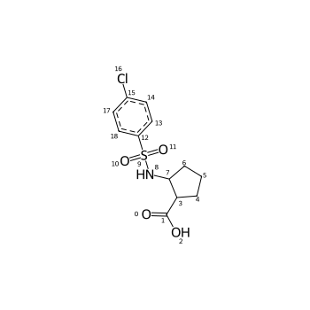 O=C(O)C1CCCC1NS(=O)(=O)c1ccc(Cl)cc1